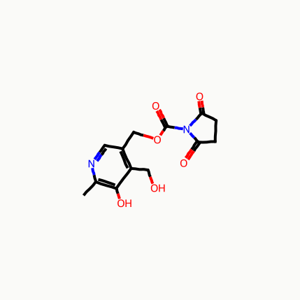 Cc1ncc(COC(=O)N2C(=O)CCC2=O)c(CO)c1O